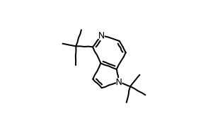 CC(C)(C)c1nccc2c1ccn2C(C)(C)C